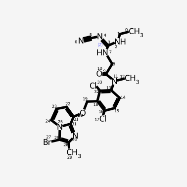 CCN/C(=N/C#N)NCC(=O)N(C)c1ccc(Cl)c(COc2cccn3c(Br)c(C)nc23)c1Cl